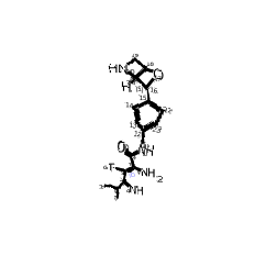 CC(C)C(=N)/C(F)=C(\N)C(=O)Nc1ccc([C@@H]2OC3CN[C@H]32)cc1